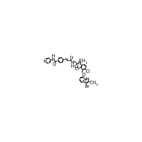 Cc1nc2c(OCc3c(Cl)ccc(N(C)C(=O)CNC(=O)/C=C/c4ccc(C(=O)Nc5ccncc5)cc4)c3Cl)cccn2c1Br